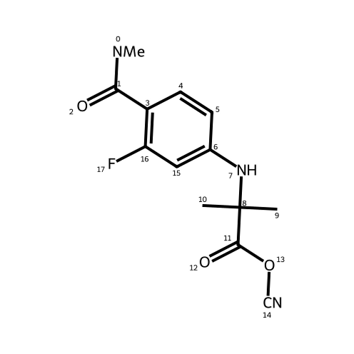 CNC(=O)c1ccc(NC(C)(C)C(=O)OC#N)cc1F